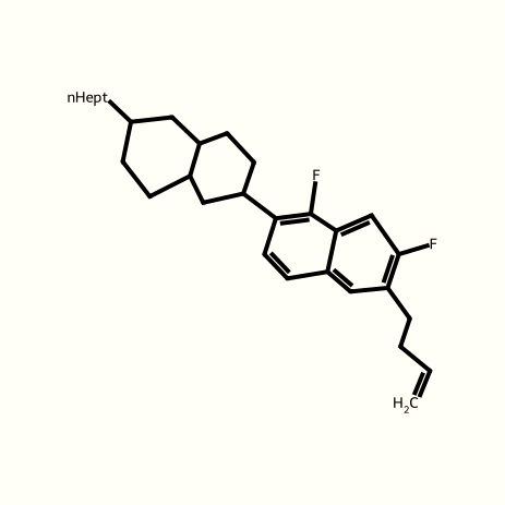 C=CCCc1cc2ccc(C3CCC4CC(CCCCCCC)CCC4C3)c(F)c2cc1F